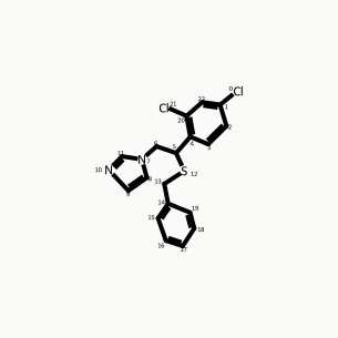 Clc1ccc(C(Cn2ccnc2)SCc2ccccc2)c(Cl)c1